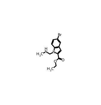 CCOC(=O)c1cc2cc(Br)ccc2n1CNC